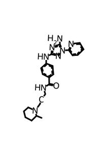 CC1CCCCN1CCCNC(=O)c1ccc(Nc2nc(N)n(-c3ccccn3)n2)cc1